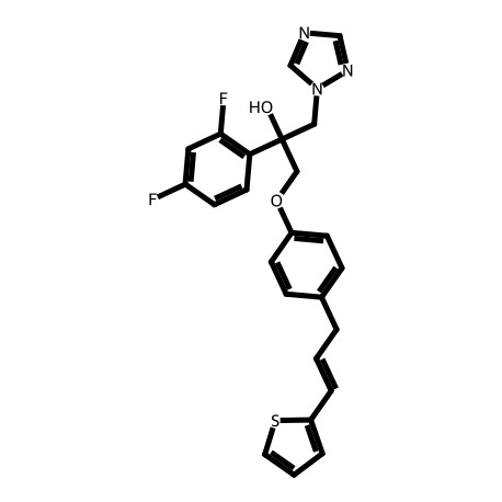 OC(COc1ccc(CC=Cc2cccs2)cc1)(Cn1cncn1)c1ccc(F)cc1F